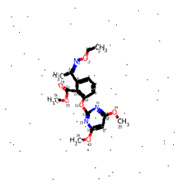 CCO/N=C(/C)c1cccc(Oc2nc(OC)cc(OC)n2)c1C(=O)OC